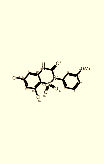 COc1cccc(N2C(=O)Nc3cc(Cl)cc(Cl)c3S2(=O)=O)c1